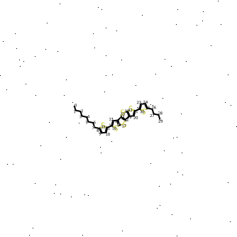 CCCCCCCCc1ccc(-c2cc3c(s2)sc2c4cc(-c5ccc(CCCC)s5)sc4sc32)s1